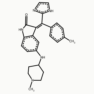 Cc1ccc(/C(=C2/C(=O)Nc3ccc(NC4CCN(C)CC4)cc32)c2ncc[nH]2)cc1